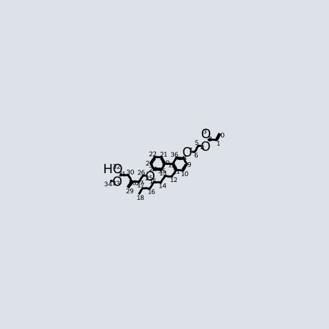 C=CC(=O)OCCOc1ccc(CCCCCCC)c(-c2cccc(OCCC(=C)CC(O)OC)c2)c1